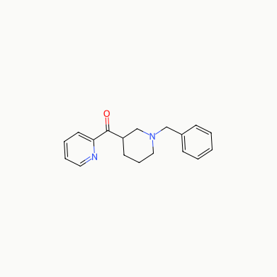 O=C(c1ccccn1)C1CCCN(Cc2ccccc2)C1